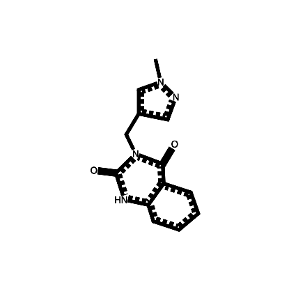 Cn1cc(Cn2c(=O)[nH]c3ccccc3c2=O)cn1